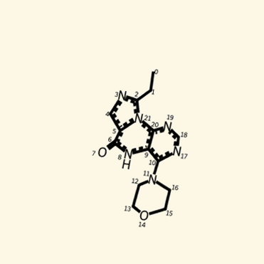 CCc1ncc2c(=O)[nH]c3c(N4CCOCC4)ncnc3n12